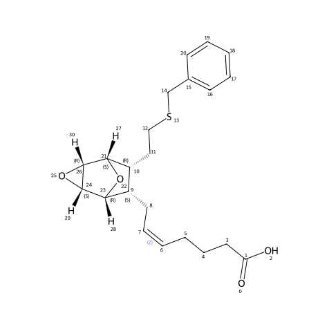 O=C(O)CCC/C=C\C[C@H]1[C@@H](CCSCc2ccccc2)[C@@H]2O[C@H]1[C@@H]1O[C@@H]12